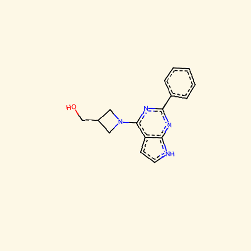 OCC1CN(c2nc(-c3ccccc3)nc3[nH]ccc23)C1